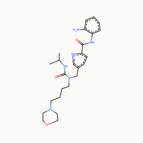 CC(C)NC(=O)N(CCCCN1CCOCC1)Cc1ccc(C(=O)Nc2ccccc2N)nc1